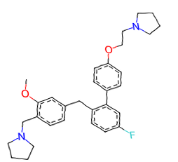 COc1cc(Cc2ccc(F)cc2-c2ccc(OCCN3CCCC3)cc2)ccc1CN1CCCC1